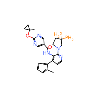 Cc1ccccc1-c1ccnc(N2CCC(P)(P)C2)c1NC(=O)c1cnc(OC2(C)CC2)nc1